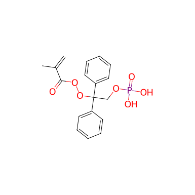 C=C(C)C(=O)OOC(COP(=O)(O)O)(c1ccccc1)c1ccccc1